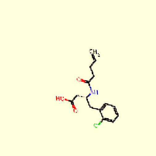 C=CCCC(=O)N[C@@H](CC(=O)O)Cc1ccccc1Cl